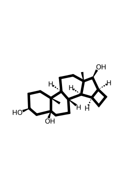 C[C@]12CC[C@H]3[C@@H](CC[C@]4(O)C[C@@H](O)CC[C@]34C)[C@@H]1[C@@H]1CC[C@@H]1[C@@H]2O